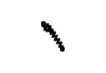 O=CCCCCCCCCN=Cc1ccc(C=O)cc1